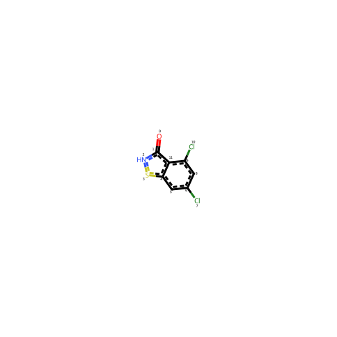 O=c1[nH]sc2cc(Cl)cc(Cl)c12